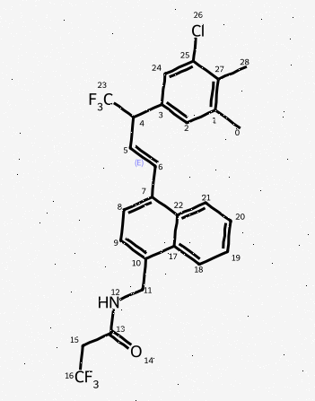 Cc1cc(C(/C=C/c2ccc(CNC(=O)CC(F)(F)F)c3ccccc23)C(F)(F)F)cc(Cl)c1C